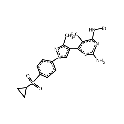 CCNc1nc(N)nc(-c2cn(-c3ccc(S(=O)(=O)C4CC4)cc3)nc2C)c1C(F)(F)F